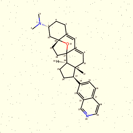 CN(C)[C@@H]1CCC2=CC3=CC[C@]4(C)[C@@H](c5ccc6ccncc6c5)CC[C@H]4C34CC[C@]2(C1)O4